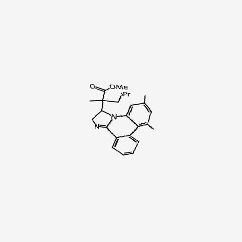 COC(=O)C(C)(CC(C)C)C1CN=C2c3ccccc3-c3c(C)cc(C)cc3N21